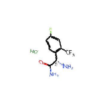 Cl.NC(=O)[C@@H](N)c1ccc(F)cc1C(F)(F)F